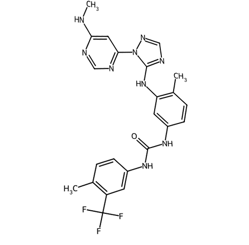 CNc1cc(-n2ncnc2Nc2cc(NC(=O)Nc3ccc(C)c(C(F)(F)F)c3)ccc2C)ncn1